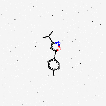 Cc1ccc(-c2cc(C(C)C)no2)cc1